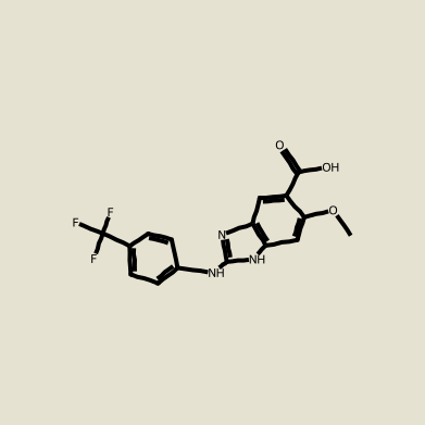 COc1cc2[nH]c(Nc3ccc(C(F)(F)F)cc3)nc2cc1C(=O)O